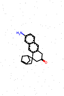 Nc1ccc2cc3c(cc2c1)C1(CC(=O)C3)CC2=CCC1C2